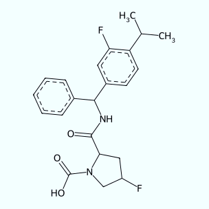 CC(C)c1ccc(C(NC(=O)C2CC(F)CN2C(=O)O)c2ccccc2)cc1F